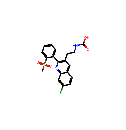 CS(=O)(=O)c1ccccc1-c1nc2cc(F)ccc2cc1CCNC(=O)O